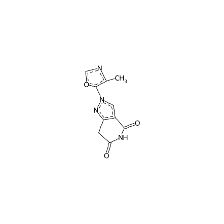 Cc1ncoc1-n1cc2c(n1)CC(=O)NC2=O